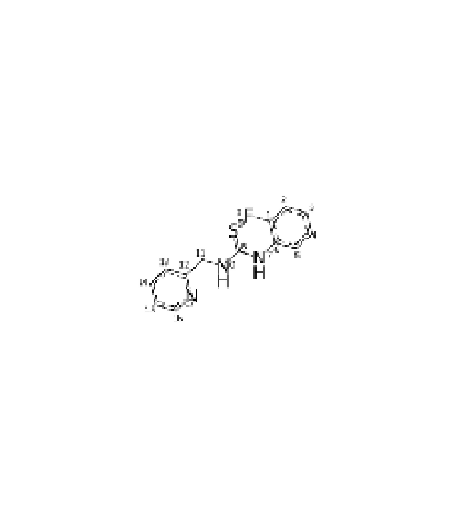 Fc1ccccc1NC(=S)NCc1ccccn1